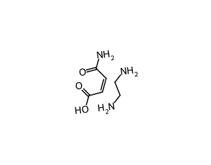 NC(=O)/C=C\C(=O)O.NCCN